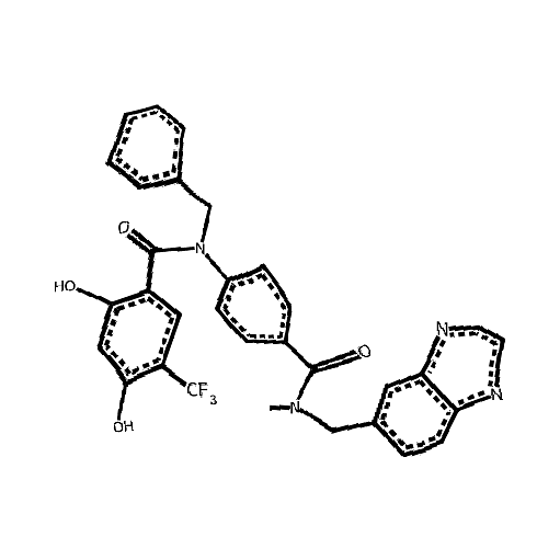 CN(Cc1ccc2nccnc2c1)C(=O)c1ccc(N(Cc2ccccc2)C(=O)c2cc(C(F)(F)F)c(O)cc2O)cc1